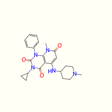 CN1CCC(Nc2cc(=O)n(C)c3c2c(=O)n(C2CC2)c(=O)n3-c2ccccc2)CC1